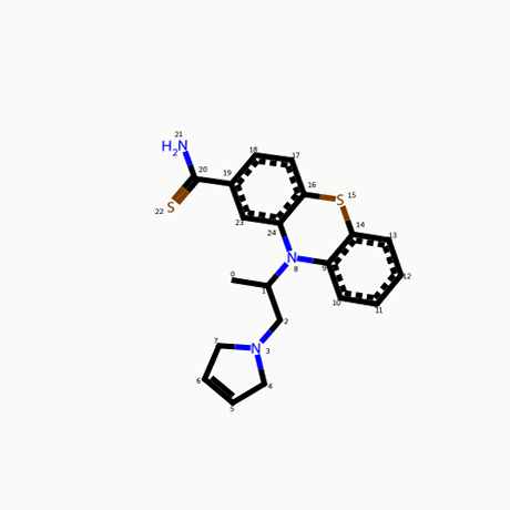 CC(CN1CC=CC1)N1c2ccccc2Sc2ccc(C(N)=S)cc21